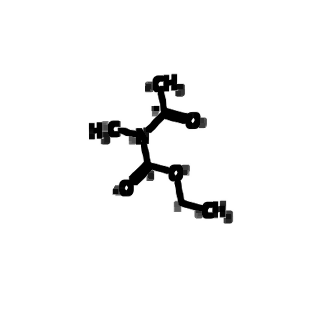 CCOC(=O)N(C)C(C)=O